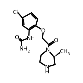 C[C@H]1CNCCN1C(=O)COc1ccc(Cl)cc1NC(N)=O